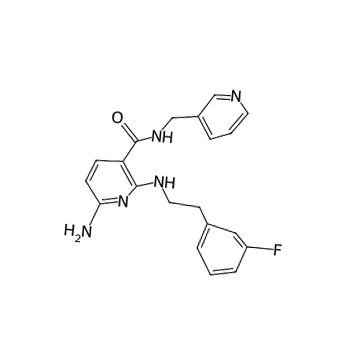 Nc1ccc(C(=O)NCc2cccnc2)c(NCCc2cccc(F)c2)n1